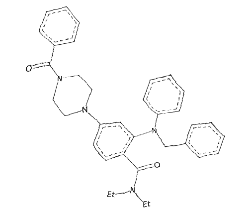 CCN(CC)C(=O)c1ccc(N2CCN(C(=O)c3ccccc3)CC2)cc1N(Cc1ccccc1)c1ccccc1